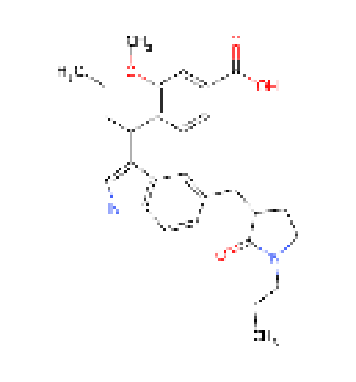 CCCC(c1ccc(C(=O)O)cc1OC)c1c[nH]c2ccc(CC3CCN(CCC)C3=O)cc12